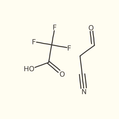 N#CCC=O.O=C(O)C(F)(F)F